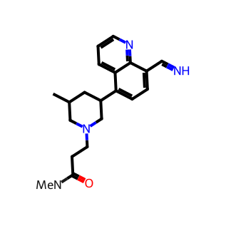 CNC(=O)CCN1CC(C)CC(c2ccc(C=N)c3ncccc23)C1